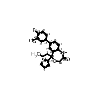 CCCC1(c2cccs2)OCC(=O)Nc2ccc(-c3ccc(F)c(Cl)c3)cc21